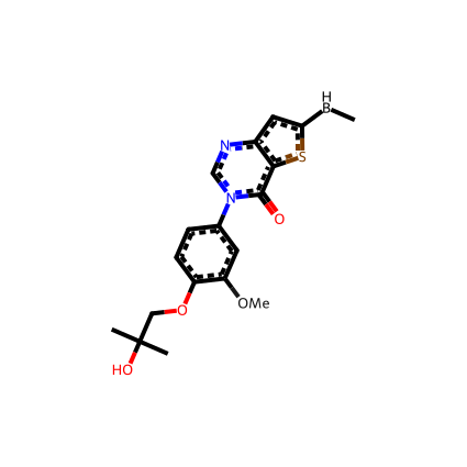 CBc1cc2ncn(-c3ccc(OCC(C)(C)O)c(OC)c3)c(=O)c2s1